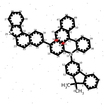 CC1(C)c2ccccc2-c2cc(N(c3ccc(-c4ccc5c(ccc6sc7ccccc7c65)c4)cc3)c3ccccc3-c3cccc4ccccc34)ccc21